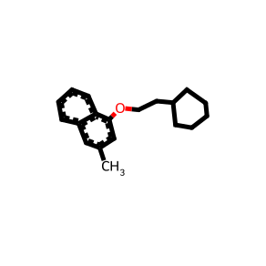 Cc1cc(OCCC2CCCCC2)c2ccccc2c1